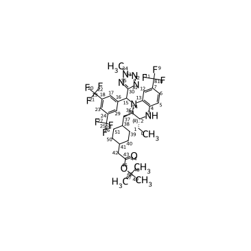 CC[C@H]1Nc2ccc(C(F)(F)F)cc2N(C(c2cc(C(F)(F)F)cc(C(F)(F)F)c2)c2nnn(C)n2)[C@@H]1CC1CCC(CC(=O)OC(C)(C)C)CC1